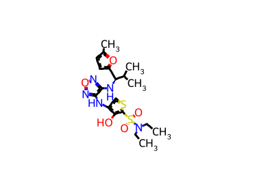 CCN(CC)S(=O)(=O)c1scc(Nc2nonc2N[C@@H](c2ccc(C)o2)C(C)C)c1O